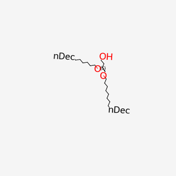 CCCCCCCCCCCCCCCCCCOC[C@H](CCO)OCCCCCCCCCCCCCCCC